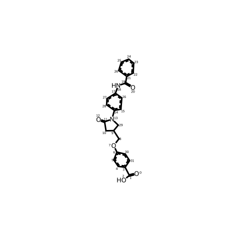 O=C(O)c1ccc(OCC2CC(=O)N(c3ccc(NC(=O)c4ccccc4)cc3)C2)cc1